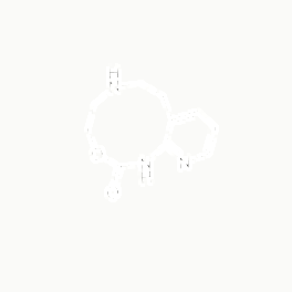 O=C1Nc2ncccc2CCNCCO1